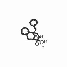 CC1(O)CC[C@@]2(Cc3ccccc3)c3ccccc3CC1C2O